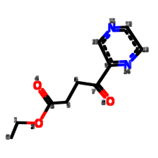 CCOC(=O)CCC(=O)c1cnccn1